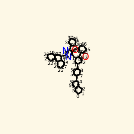 c1ccc2cc(-c3ccc(-c4cc(-c5nc(-c6cc7ccccc7c7ccccc67)nc6c5oc5ccccc56)c5c(c4)oc4ccccc45)cc3)ccc2c1